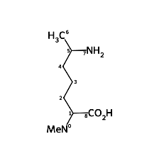 CNC(CCCC(C)N)C(=O)O